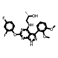 COc1cccc(-c2n[nH]c3nc(Oc4ccc(F)cc4F)nc(NC[C@H](C)O)c23)c1OC